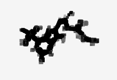 C[C@@H](Cc1oc2c(S(C)(=O)=O)nc(Cl)nc2c1Br)NC(=O)OC(C)(C)C